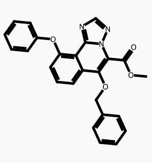 COC(=O)c1c(OCc2ccccc2)c2cccc(Oc3ccccc3)c2c2ncnn12